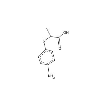 CC(Sc1ccc(N)cc1)C(=O)O